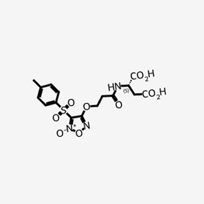 Cc1ccc(S(=O)(=O)c2c(OCCC(=O)N[C@@H](CC(=O)O)C(=O)O)no[n+]2[O-])cc1